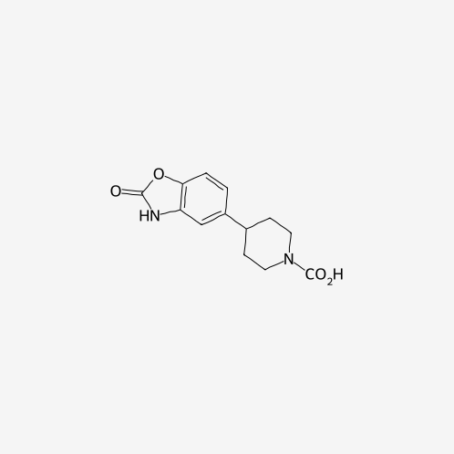 O=C(O)N1CCC(c2ccc3oc(=O)[nH]c3c2)CC1